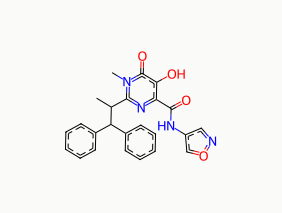 CC(c1nc(C(=O)Nc2cnoc2)c(O)c(=O)n1C)C(c1ccccc1)c1ccccc1